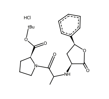 CC(N[C@H]1C[C@@H](c2ccccc2)OC1=O)C(=O)N1CCC[C@H]1C(=O)OC(C)(C)C.Cl